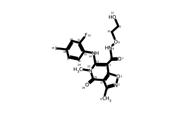 Cc1noc2c(C(=O)NOCCO)c(Nc3ccc(I)cc3F)n(C)c(=O)c12